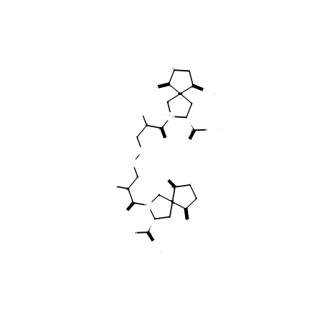 CC(CSSCC(C)C(=O)N1CC2(C[C@H]1C(=O)O)C(=O)CCC2=O)C(=O)N1CC2(C[C@H]1C(=O)O)C(=O)CCC2=O